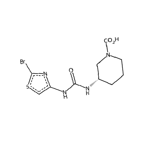 O=C(Nc1csc(Br)n1)N[C@H]1CCCN(C(=O)O)C1